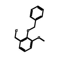 COc1cccc(CCl)c1OCc1ccccc1